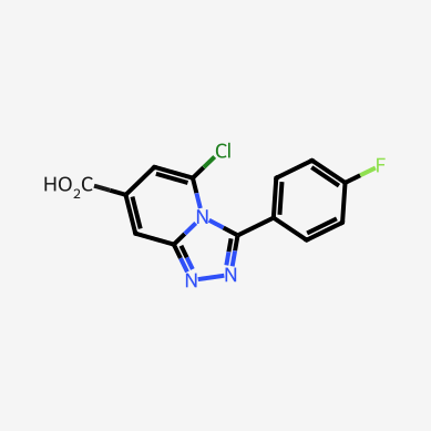 O=C(O)c1cc(Cl)n2c(-c3ccc(F)cc3)nnc2c1